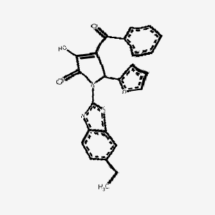 CCc1ccc2nc(N3C(=O)C(O)=C(C(=O)c4ccccc4)C3c3ccco3)sc2c1